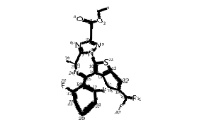 CCOC(=O)c1nc2n(n1)-c1sc3c(c1C(c1c(F)cccc1F)=N[C@H]2C)CC(C(F)F)C3